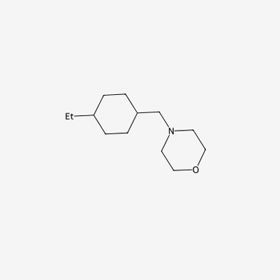 CCC1CCC(CN2CCOCC2)CC1